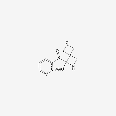 COC1(C(=O)c2cccnc2)NCC12CNC2